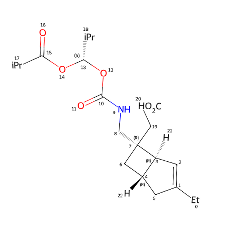 CCC1=C[C@H]2[C@H](C1)C[C@@]2(CNC(=O)O[C@H](OC(=O)C(C)C)C(C)C)CC(=O)O